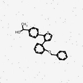 CC(O)c1ccc(-c2sccc2-c2ccccc2OCc2ccccc2)cc1